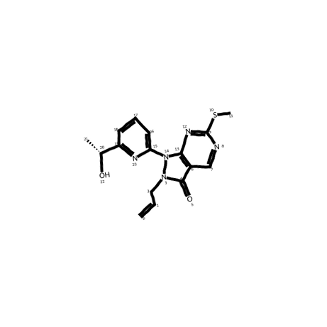 C=CCn1c(=O)c2cnc(SC)nc2n1-c1cccc([C@@H](C)O)n1